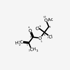 C=C(C)C(=O)OC(Cl)(Cl)COC(C)=O